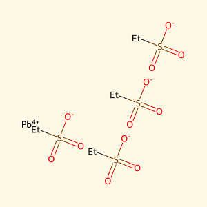 CCS(=O)(=O)[O-].CCS(=O)(=O)[O-].CCS(=O)(=O)[O-].CCS(=O)(=O)[O-].[Pb+4]